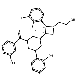 Cc1c(F)cccc1[C@@H]1[C@H](N2CC(C(=O)c3cccc(O)c3)CC(c3cc[c]cc3O)C2)CN1CCO